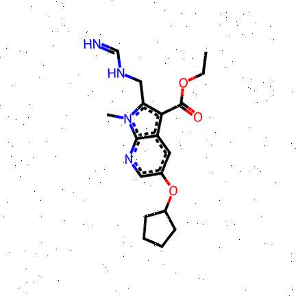 CCOC(=O)c1c(CNC=N)n(C)c2ncc(OC3CCCC3)cc12